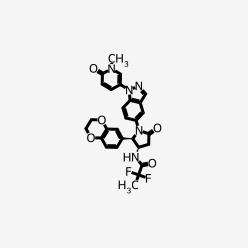 Cn1cc(-n2ncc3cc(N4C(=O)C[C@H](NC(=O)C(C)(F)F)[C@H]4c4ccc5c(c4)OCCO5)ccc32)ccc1=O